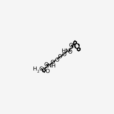 C=C1C=CC(=O)N1CCC(=O)NCCOCCOCCOCCOCCNC(=O)CCC(=O)N1Cc2ccccc2C#Cc2ccccc21